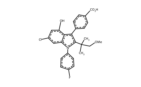 COCC(C)(C)c1c(-c2ccc(C(=O)O)cc2)c2c(O)cc(Cl)cc2n1-c1ccc(F)cc1